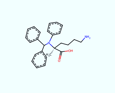 C[C@](CCCCN)(C(=O)O)N(c1ccccc1)C(c1ccccc1)c1ccccc1